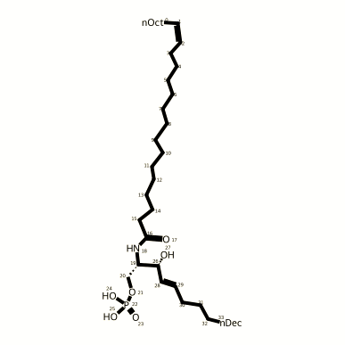 CCCCCCCC/C=C\CCCCCCCCCCCCCC(=O)N[C@@H](COP(=O)(O)O)[C@H](O)/C=C/CCCCCCCCCCCCC